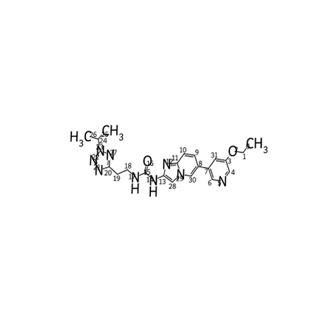 CCOc1cncc(-c2ccc3nc(NC(=O)NCCc4nnn(C(C)C)n4)cn3c2)c1